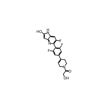 O=C(CO)N1CC=C(c2cc(F)c(-c3nc4cc(O)[nH]c4cc3F)c(F)c2)CC1